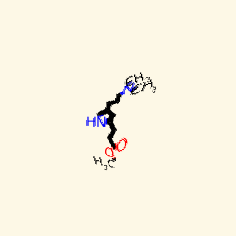 CCOC(=O)CCc1cc(CCCN(C)C)c[nH]1